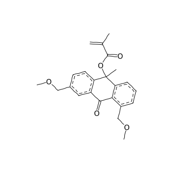 C=C(C)C(=O)OC1(C)c2ccc(COC)cc2C(=O)c2c(COC)cccc21